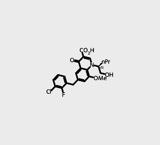 CCC[C@@H](CO)n1cc(C(=O)O)c(=O)c2cc(Cc3cccc(Cl)c3F)cc(OC)c21